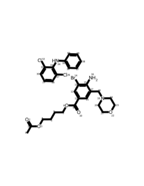 CC(=O)OCCCCOC(=O)c1cc(Br)c(N)c(CN2CCOCC2)c1.Clc1cccc(Cl)c1Nc1ccccc1